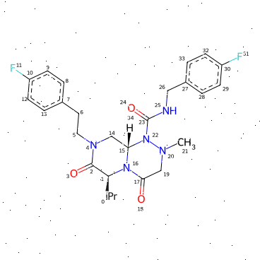 CC(C)[C@H]1C(=O)N(CCc2ccc(F)cc2)C[C@H]2N1C(=O)CN(C)N2C(=O)NCc1ccc(F)cc1